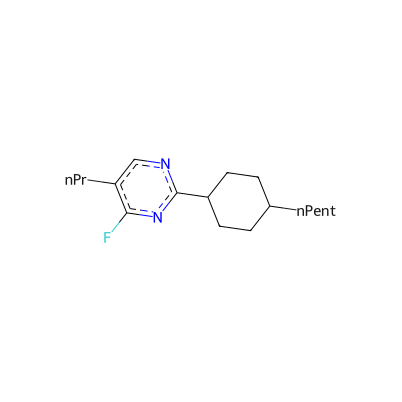 CCCCCC1CCC(c2ncc(CCC)c(F)n2)CC1